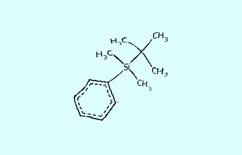 CC(C)(C)[Si](C)(C)c1[c]cccc1